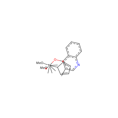 C[O][Ti]([CH3])([CH3])([CH3])([CH3])([CH3])([O]C)([O]c1c(C)cnc2ccccc12)[CH]1C=CC=C1